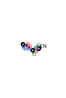 N#Cc1ccc(Oc2c(Cl)cc(NC(=O)NC(=O)c3ccccc3Cl)cc2Cl)nc1Cl